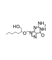 CCCCCC(CO)OCn1cnc2c(=O)[nH]c(N)nc21